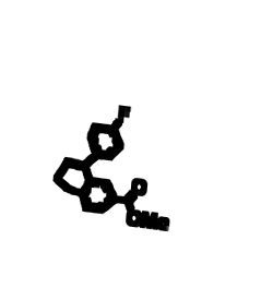 COC(=O)c1ccc2c(c1)C(c1ccc(F)cc1)=CCC2